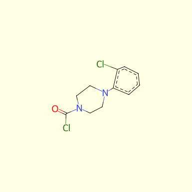 O=C(Cl)N1CCN(c2ccccc2Cl)CC1